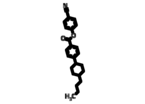 CCCCC1CCC(c2ccc(C(=O)Oc3ccc(C#N)cc3)cc2)CC1